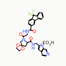 O=C(NCC(=O)N1CC2(CC1C(=O)NCc1cc3ccncc3n1C(=O)O)OCCO2)c1ccc2c(c1)-c1ccccc1C2(F)F